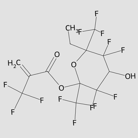 C=C(C(=O)OC1(C(F)(F)F)OC(CC)(C(F)(F)F)C(F)(F)C(O)C1(F)F)C(F)(F)F